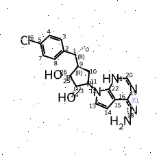 C[C@@H](c1ccc(Cl)cc1)[C@H]1C[C@@H](n2ccc3/c(=N\N)nc[nH]c32)[C@H](O)[C@@H]1O